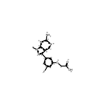 Cn1nc(-c2cc(F)cc(OCC(=O)O)c2)c2cnc(N)nc21